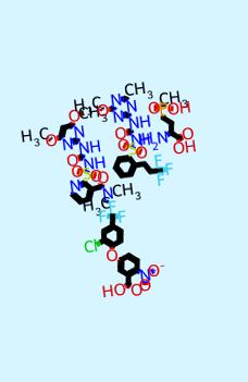 COc1cc(OC)nc(NC(=O)NS(=O)(=O)c2ncccc2C(=O)N(C)C)n1.COc1nc(C)nc(NC(=O)NS(=O)(=O)c2ccccc2CCC(F)(F)F)n1.CP(=O)(O)CCC(N)C(=O)O.O=C(O)c1cc(Oc2ccc(C(F)(F)F)cc2Cl)ccc1[N+](=O)[O-]